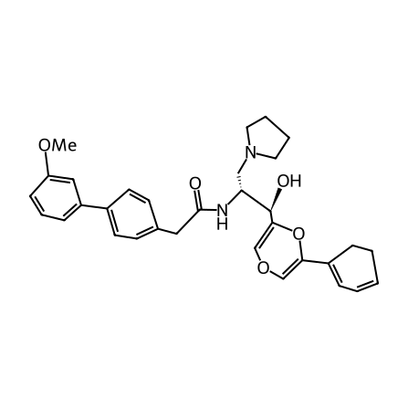 COc1cccc(-c2ccc(CC(=O)N[C@H](CN3CCCC3)[C@@H](O)C3=COC=C(C4=CC=CCC4)O3)cc2)c1